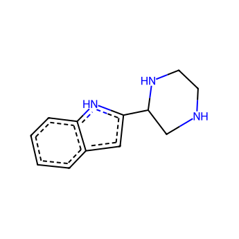 c1ccc2[nH]c(C3CNCCN3)cc2c1